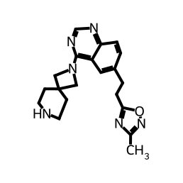 Cc1noc(CCc2ccc3ncnc(N4CC5(CCNCC5)C4)c3c2)n1